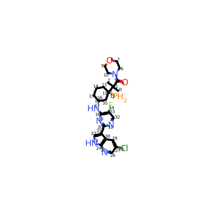 CC(C)(C(=O)N1CCOCC1)[C@@]1(P)CCC[C@@H](Nc2nc(-c3c[nH]c4ncc(Cl)cc34)ncc2F)C1